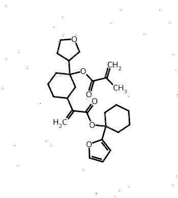 C=C(C)C(=O)OC1(C2CCOC2)CCCC(C(=C)C(=O)OC2(c3ccco3)CCCCC2)C1